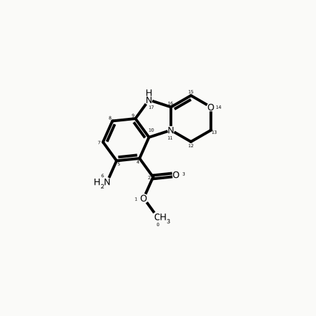 COC(=O)c1c(N)ccc2c1N1CCOC=C1N2